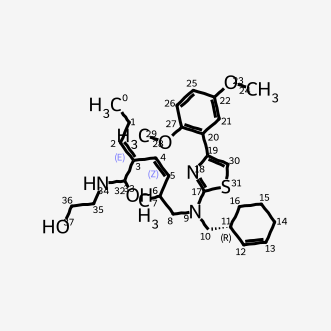 CC/C=C(\C=C/C(C)CN(C[C@H]1C=CCCC1)c1nc(-c2cc(OC)ccc2OC)cs1)C(O)NCCO